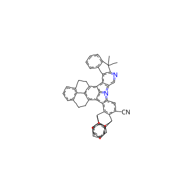 CC1(C)c2ccccc2-c2c1ncc1c2c2c3c4c(c5c6c7c(c(C#N)cc6n1c25)C1c2ccccc2C7c2ccccc21)CCc1cccc(c1-4)CC3